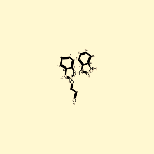 O=CC=O.c1ccc2[nH]nnc2c1.c1ccc2[nH]nnc2c1